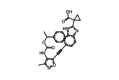 Cc1noc(C#Cc2ccc3nc(C4(C(=O)O)CC4)[nH]c3c2)c1NC(=O)OC(C)c1ccccc1